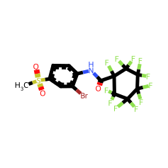 CS(=O)(=O)c1ccc(NC(=O)C2(F)C(F)(F)C(F)(F)C(F)(F)C(F)(F)C2(F)F)c(Br)c1